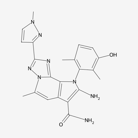 Cc1ccc(O)c(C)c1-n1c(N)c(C(N)=O)c2cc(C)n3nc(-c4ccn(C)n4)nc3c21